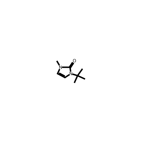 Cn1ccn(C(C)(C)C)c1=O